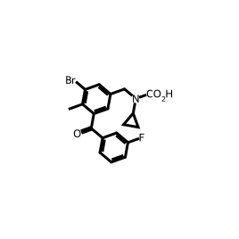 Cc1c(Br)cc(CN(C(=O)O)C2CC2)cc1C(=O)c1cccc(F)c1